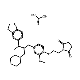 COc1cc(CN(CC2CCCCC2)C(C)c2ccc3c(c2)CCO3)ccc1OCCN1C(=O)CCC1=O.O=C(O)O